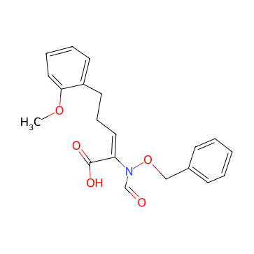 COc1ccccc1CC/C=C(\C(=O)O)N(C=O)OCc1ccccc1